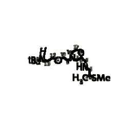 CSC(C)CNCC1CN(CCOCCNC(C)(C)C)CCO1